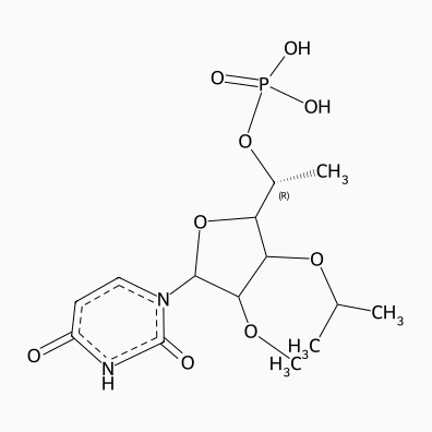 COC1C(OC(C)C)C([C@@H](C)OP(=O)(O)O)OC1n1ccc(=O)[nH]c1=O